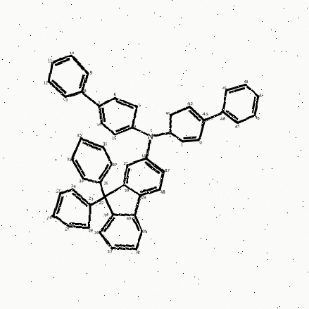 C1=CC(N(c2ccc(-c3ccccc3)cc2)c2ccc3c(c2)C(c2ccccc2)(c2ccccc2)c2ccccc2-3)CC=C1c1ccccc1